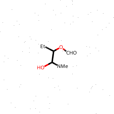 CCC(OC=O)C(O)NC